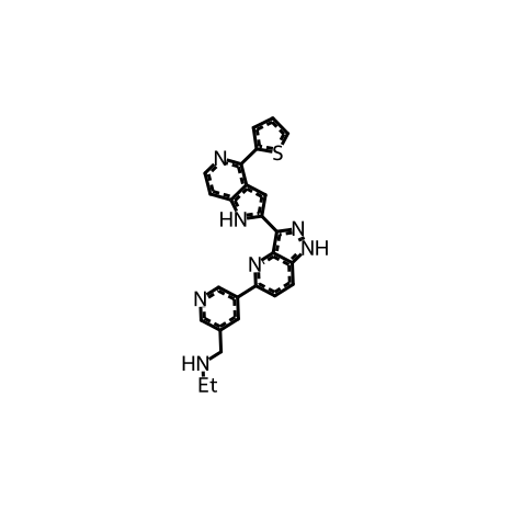 CCNCc1cncc(-c2ccc3[nH]nc(-c4cc5c(-c6cccs6)nccc5[nH]4)c3n2)c1